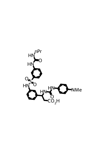 CCCNC(=O)Nc1cccc(S(=O)(=O)Nc2cccc(C(CC(=O)O)NC(=O)Nc3ccc(NC)cc3)c2)c1